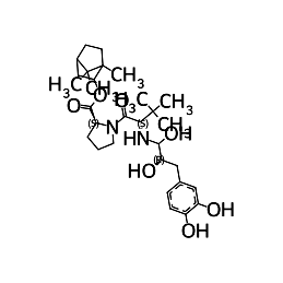 CC(C)(C)[C@H](NC(O)[C@H](O)Cc1ccc(O)c(O)c1)C(=O)N1CCC[C@H]1C(=O)OC1CC2CCC1(C)C2(C)C